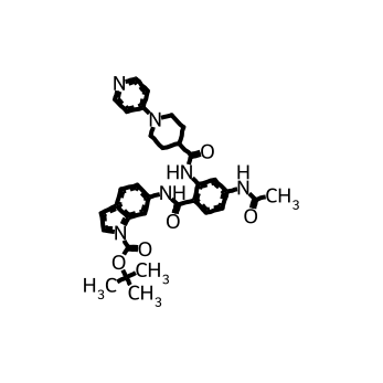 CC(=O)Nc1ccc(C(=O)Nc2ccc3ccn(C(=O)OC(C)(C)C)c3c2)c(NC(=O)C2CCN(c3ccncc3)CC2)c1